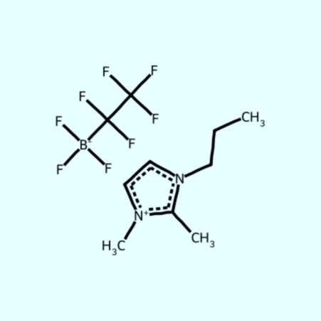 CCCn1cc[n+](C)c1C.F[B-](F)(F)C(F)(F)C(F)(F)F